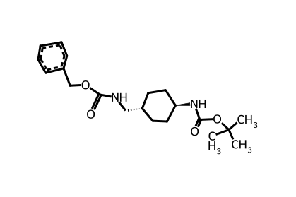 CC(C)(C)OC(=O)N[C@H]1CC[C@H](CNC(=O)OCc2ccccc2)CC1